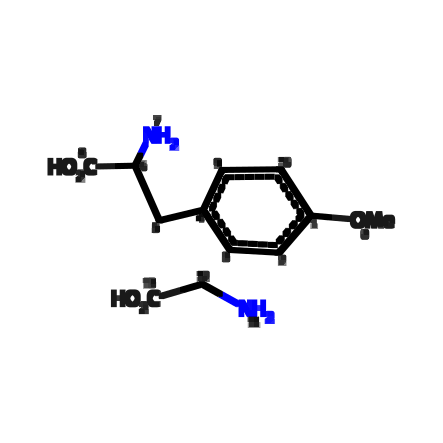 COc1ccc(CC(N)C(=O)O)cc1.NCC(=O)O